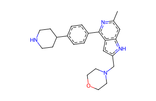 Cc1cc2[nH]c(CN3CCOCC3)cc2c(-c2ccc(C3CCNCC3)cc2)n1